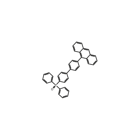 O=P(c1ccccc1)(c1ccccc1)c1ccc(-c2ccc(-c3c4ccccc4cc4ccccc34)cc2)cc1